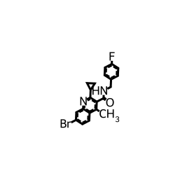 Cc1c(C(=O)NCc2ccc(F)cc2)c(C2CC2)nc2cc(Br)ccc12